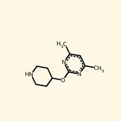 Cc1cc(C)nc(OC2CCNCC2)n1